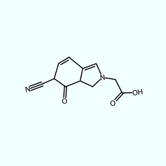 N#CC1C=CC2=CN(CC(=O)O)CC2C1=O